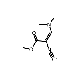 [C-]#[N+]/C(=C/N(C)C)C(=O)OC